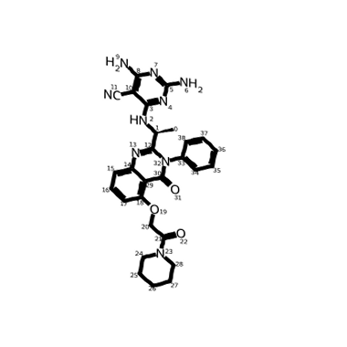 C[C@H](Nc1nc(N)nc(N)c1C#N)c1nc2cccc(OCC(=O)N3CCCCC3)c2c(=O)n1-c1ccccc1